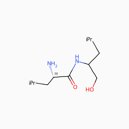 CC(C)CC(CO)NC(=O)[C@@H](N)CC(C)C